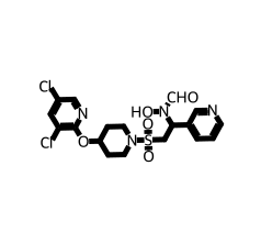 O=CN(O)C(CS(=O)(=O)N1CCC(Oc2ncc(Cl)cc2Cl)CC1)c1cccnc1